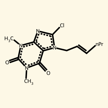 CCCC=CCn1c(Cl)nc2c1c(=O)n(C)c(=O)n2C